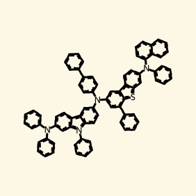 c1ccc(-c2ccc(N(c3cc(-c4ccccc4)c4sc5cc(N(c6ccccc6)c6cccc7ccccc67)ccc5c4c3)c3ccc4c(c3)c3ccc(N(c5ccccc5)c5ccccc5)cc3n4-c3ccccc3)cc2)cc1